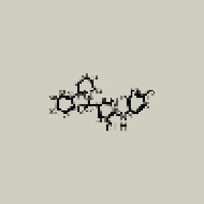 Cc1ccc(Nc2ncc(C(=O)N3CCCCC3c3ccccc3)cc2Cl)cn1